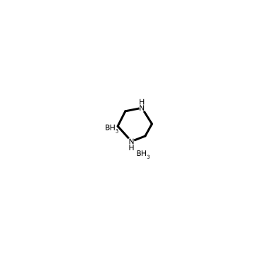 B.B.C1CNCCN1